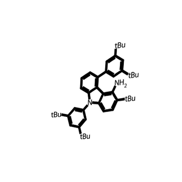 CC(C)(C)c1cc(-c2cccc3c2c2c(N)c(C(C)(C)C)ccc2n3-c2cc(C(C)(C)C)cc(C(C)(C)C)c2)cc(C(C)(C)C)c1